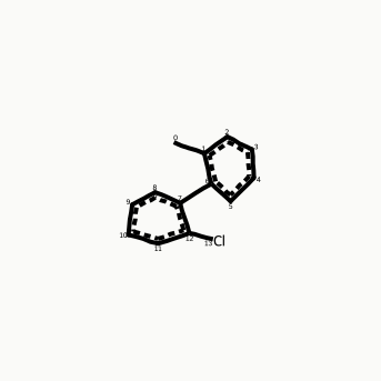 Cc1ccccc1-c1ccccc1Cl